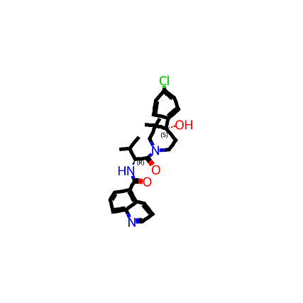 CC(C)[C@@H](NC(=O)c1cccc2ncccc12)C(=O)N1CC[C@](O)(c2ccc(Cl)cc2)C(C)(C)C1